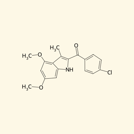 COc1cc(OC)c2c(C)c(C(=O)c3ccc(Cl)cc3)[nH]c2c1